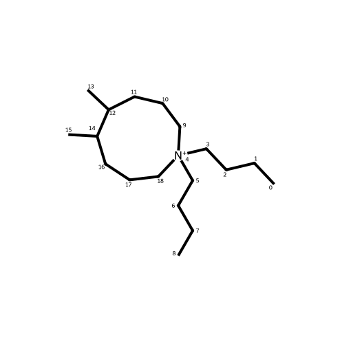 CCCC[N+]1(CCCC)CCCC(C)C(C)CCC1